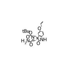 C=CCOc1ccc2c(c1)[C@@]1(C[C@@H](C(N)=O)N(C(=O)OC(C)(C)C)C1)C(=O)N2